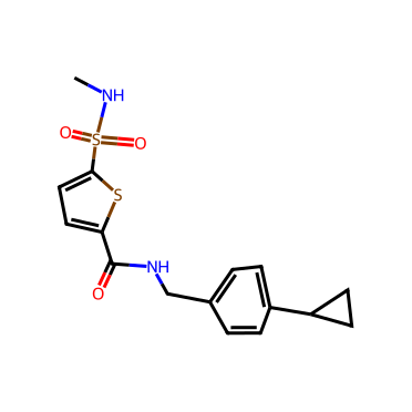 CNS(=O)(=O)c1ccc(C(=O)NCc2ccc(C3CC3)cc2)s1